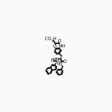 O=C(O)CC1Oc2ccc(C[C@H](NS(=O)(=O)c3ccc4ccccc4c3)C(=O)OCc3ccccc3)cc2NC1=O